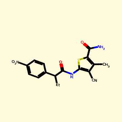 CCC(C(=O)Nc1sc(C(N)=O)c(C)c1C#N)c1ccc([N+](=O)[O-])cc1